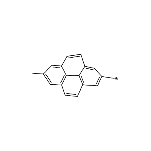 Cc1cc2ccc3cc(Br)cc4ccc(c1)c2c34